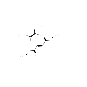 CCCCCC/C(C(=O)O)=C(/CCCCCC)C(=O)O.CCCCCCOC(=O)C=CC(=O)OCCCCCC